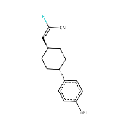 CCCc1ccc([C@H]2CC[C@H](/C=C(/F)C#N)CC2)cc1